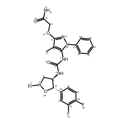 CCN1C[C@@H](NC(=O)Nc2c(C)c(OCC(N)=O)nn2-c2ccccc2)[C@H](c2ccc(F)c(F)c2)O1